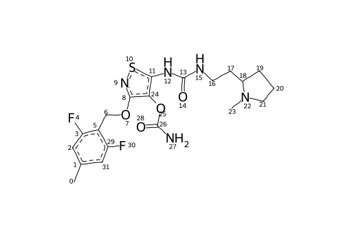 Cc1cc(F)c(COc2nsc(NC(=O)NCCC3CCCN3C)c2OC(N)=O)c(F)c1